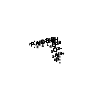 B.B.[Al+3].[Al+3].[O-2].[O-2].[O-2].[P].[P]